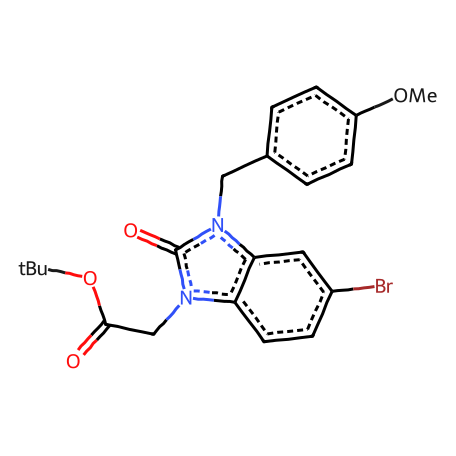 COc1ccc(Cn2c(=O)n(CC(=O)OC(C)(C)C)c3ccc(Br)cc32)cc1